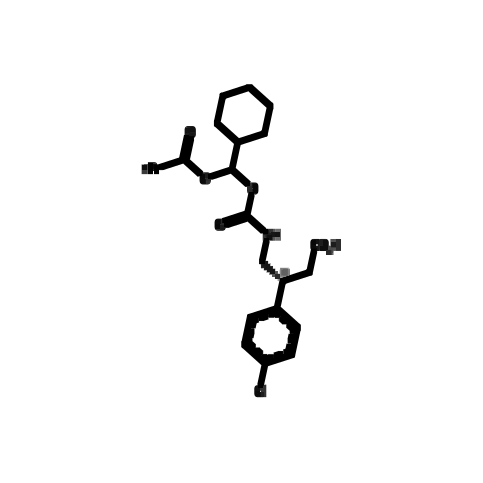 CCCC(=O)OC(OC(=O)NC[C@H](CC(=O)O)c1ccc(Cl)cc1)C1CCCCC1